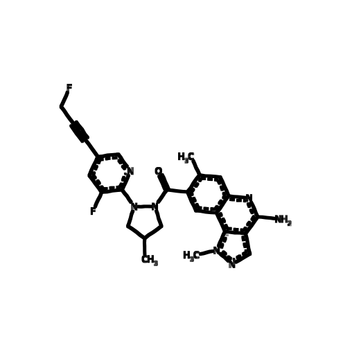 Cc1cc2nc(N)c3cnn(C)c3c2cc1C(=O)N1CC(C)CN1c1ncc(C#CCF)cc1F